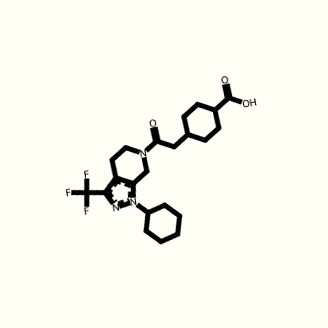 O=C(O)C1CCC(CC(=O)N2CCc3c(C(F)(F)F)nn(C4CCCCC4)c3C2)CC1